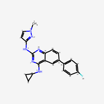 Cn1ccc(Nc2nc(NC3CC3)c3cc(-c4ccc(F)cc4)ccc3n2)n1